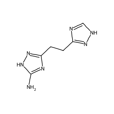 Nc1nc(CCc2nc[nH]n2)n[nH]1